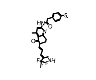 CSc1ccc(CC(=O)Nc2cc(C)c3c(n2)CCC(/C=C/C=C(\C=N)C(F)(F)F)C3=O)cc1